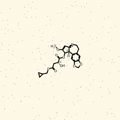 COC1=CC23CCCN2CCc2cc4c(cc2[C@@H]3C1OC(=O)[C@H](O)CC(=O)OCC1CC1)OCO4